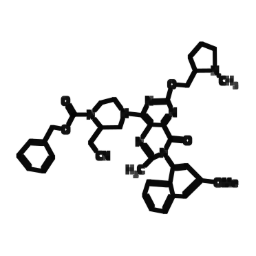 COc1cc(-n2c(C)nc3c(N4CCN(C(=O)OCc5ccccc5)C(CC#N)C4)nc(OCC4CCCN4C)nc3c2=O)c2ccccc2c1